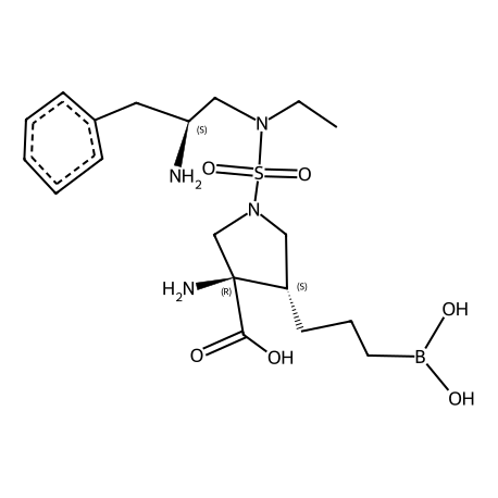 CCN(C[C@@H](N)Cc1ccccc1)S(=O)(=O)N1C[C@H](CCCB(O)O)[C@](N)(C(=O)O)C1